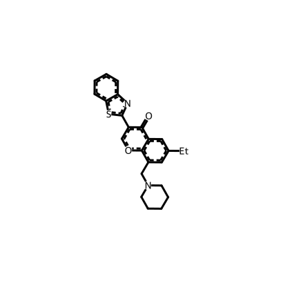 CCc1cc(CN2CCCCC2)c2occ(-c3nc4ccccc4s3)c(=O)c2c1